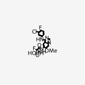 COc1cc2ncnc(Nc3ccc(F)c(Cl)c3)c2cc1NC(=O)C(F)P(=O)(O)O